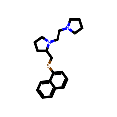 c1ccc2c(SCC3CCCN3CCN3CCCC3)cccc2c1